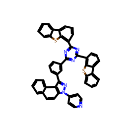 c1cc(-c2nc(-c3cccc4c3sc3ccccc34)nc(-c3cccc4c3sc3ccccc34)n2)cc(-c2nn(-c3ccncc3)c3ccc4ccccc4c23)c1